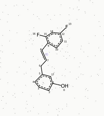 Oc1cccc(C/C=C/c2ccc(F)cc2F)c1